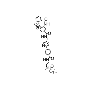 CN(CCNC(=O)c1ccc(-c2ncc(CNC(=O)c3ccc4c(c3)NC(=O)c3ccccc3S4(=O)=O)s2)cc1)C(=O)OC(C)(C)C